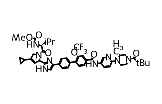 COC(=O)N[C@H](C(=O)N1CC(C2CC2)=CC1c1nc(-c2ccc(-c3ccc(C(=O)Nc4ccc(N5CCN(C(=O)C(C)(C)C)CC5C)nc4)cc3OC(F)(F)F)cc2)c[nH]1)C(C)C